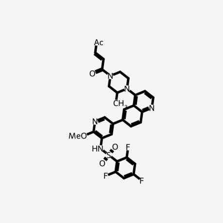 COc1ncc(-c2ccc3nccc(N4CCN(C(=O)C=CC(C)=O)CC4C)c3c2)cc1NS(=O)(=O)c1c(F)cc(F)cc1F